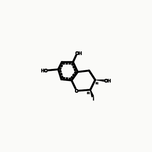 Oc1cc(O)c2c(c1)O[C@H](I)[C@@H](O)C2